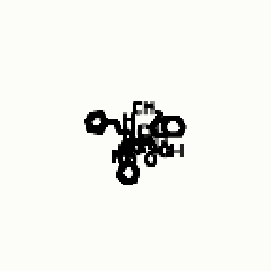 CC(Cn1nnc2ccccc21)(C(=O)NCCc1ccccc1)N(C(=O)O)C1CCC2CCCC1C2.[CH2]